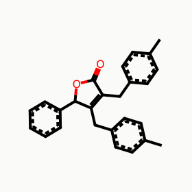 Cc1ccc(CC2=C(Cc3ccc(C)cc3)C(c3ccccc3)OC2=O)cc1